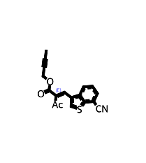 CC#CCOC(=O)/C(=C/c1csc2c(C#N)cccc12)C(C)=O